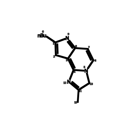 CCCCc1cc2c3n(ccc-2n1)CC(C)=N3